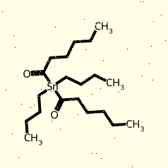 CCCCC[C](=O)[Sn]([CH2]CCC)([CH2]CCC)[C](=O)CCCCC